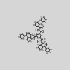 O=C(Nc1cnc(-c2ccccc2)c2ccccc12)c1cc(C(=O)Nc2cnc(-c3ccccc3)c3ccccc23)cc(C(=O)Nc2cnc(-c3ccccc3)c3ccccc23)c1